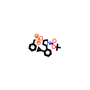 CC(C)(C)OC(=O)N1CC(OS(=O)(=O)Cc2ccccc2)CC1c1ccccc1C1CC1